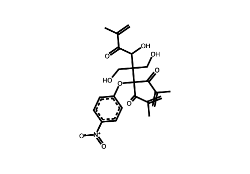 C=C(C)C(=O)C(O)C(CO)(CO)C(Oc1ccc([N+](=O)[O-])cc1)(C(=O)C(=C)C)C(=O)C(=C)C